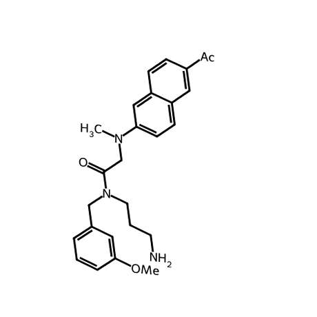 COc1cccc(CN(CCCN)C(=O)CN(C)c2ccc3cc(C(C)=O)ccc3c2)c1